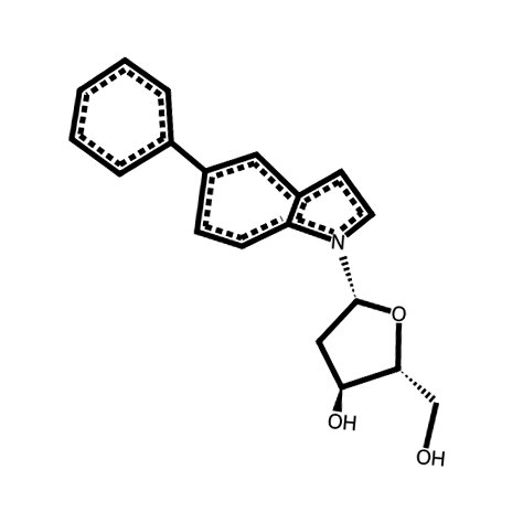 OC[C@H]1O[C@@H](n2ccc3cc(-c4ccccc4)ccc32)C[C@@H]1O